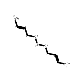 CCCC=CCSSSCC=CCCC